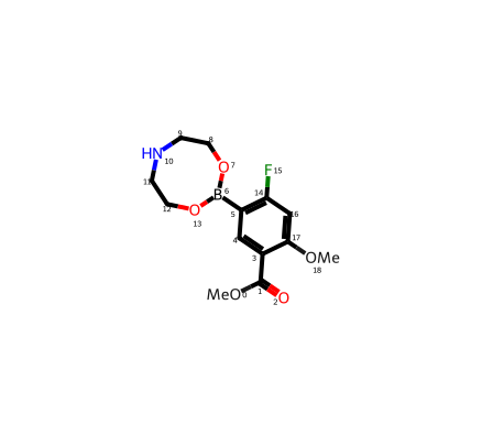 COC(=O)c1cc(B2OCCNCCO2)c(F)cc1OC